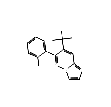 CC(C)(N)c1cc2nccn2nc1-c1ccccc1F